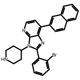 Brc1ccccc1-c1nc2c(-c3ccc4ccccc4c3)ccnc2n1C1CCNCC1